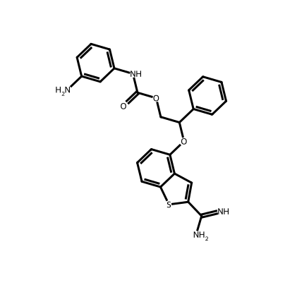 N=C(N)c1cc2c(OC(COC(=O)Nc3cccc(N)c3)c3ccccc3)cccc2s1